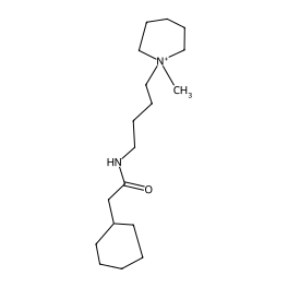 C[N+]1(CCCCNC(=O)CC2CCCCC2)CCCCC1